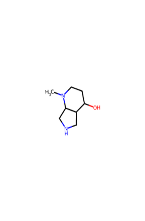 CN1CCC(O)C2CNCC21